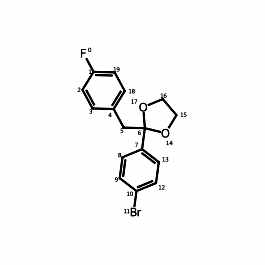 Fc1ccc(CC2(c3ccc(Br)cc3)OCCO2)cc1